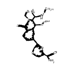 CCCCOc1c(C(NC(=O)O)C(C)(C)C)n(CC(C)C)c(=O)c2ccc(-c3nc(C(N)=O)cs3)cc12